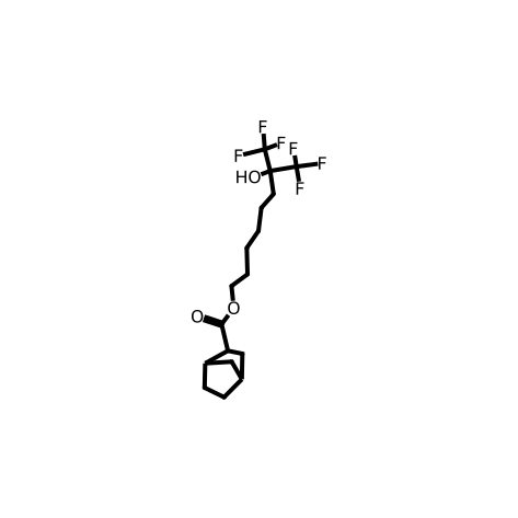 O=C(OCCCCCCC(O)(C(F)(F)F)C(F)(F)F)C1CC2CCC1C2